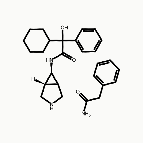 NC(=O)Cc1ccccc1.O=C(N[C@H]1C2CNC[C@@H]21)C(O)(c1ccccc1)C1CCCCC1